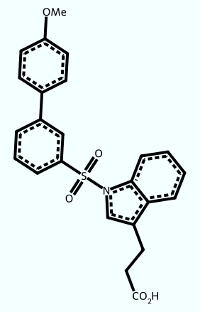 COc1ccc(-c2cccc(S(=O)(=O)n3cc(CCC(=O)O)c4ccccc43)c2)cc1